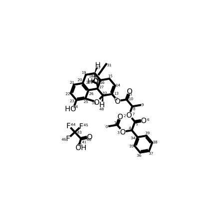 CC(=O)OC(C(=O)OC(C)C(=O)OC1=CC[C@@]2(O)[C@H]3Cc4ccc(O)c5c4[C@@]2(CCN3C)[C@H]1O5)c1ccccc1.O=C(O)C(F)(F)F